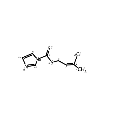 CC(Cl)=CCSC(=S)n1ccnc1